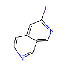 Ic1cc2ccncc2cn1